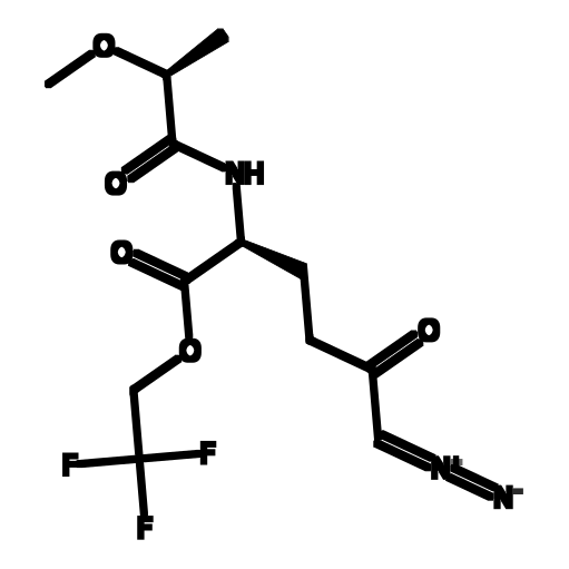 CO[C@@H](C)C(=O)N[C@@H](CCC(=O)C=[N+]=[N-])C(=O)OCC(F)(F)F